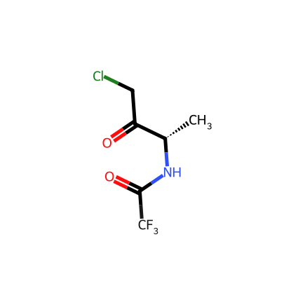 C[C@H](NC(=O)C(F)(F)F)C(=O)CCl